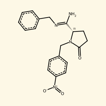 NC(=NCc1ccccc1)[C@@H]1CCC(=O)N1Cc1ccc([N+](=O)[O-])cc1